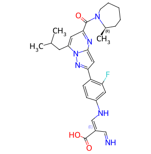 CC(C)Cc1cc(C(=O)N2CCCCC[C@H]2C)nc2cc(-c3ccc(N/C=C(\C=N)C(=O)O)cc3F)nn12